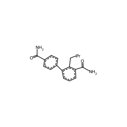 CC(C)Cc1c(C(N)=O)cccc1-c1ccc(C(N)=O)cc1